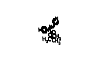 CC(C)(C)OC(=O)N(N=Cc1ccncc1)c1ccc(I)cc1